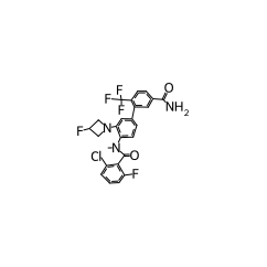 CN(C(=O)c1c(F)cccc1Cl)c1ccc(-c2cc(C(N)=O)ccc2C(F)(F)F)cc1N1CC(F)C1